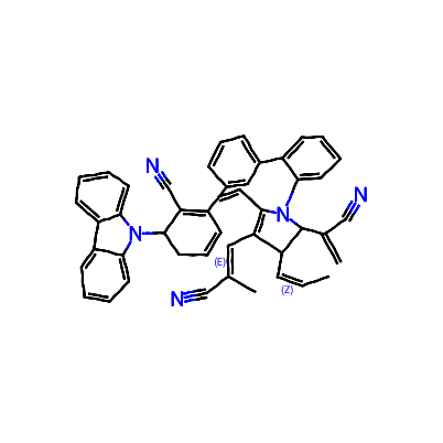 C=CC1=C(/C=C(\C)C#N)C(/C=C\C)C(C(=C)C#N)N1c1ccccc1-c1cccc(C2=C(C#N)C(n3c4ccccc4c4ccccc43)CC=C2)c1